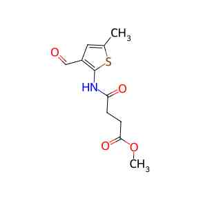 COC(=O)CCC(=O)Nc1sc(C)cc1C=O